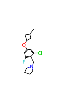 [CH2]C1CC(Oc2cc(F)c(CN3CCCC3)c(Cl)c2)C1